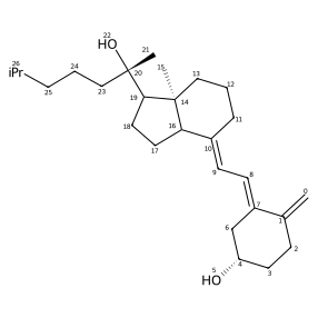 C=C1CC[C@H](O)CC1=CC=C1CCC[C@@]2(C)C1CCC2[C@@](C)(O)CCCC(C)C